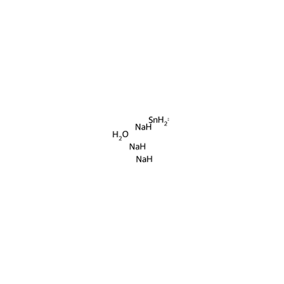 O.[NaH].[NaH].[NaH].[SnH2]